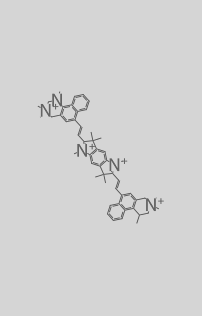 CC1C[N+](C)(C)Cc2cc(C=CC3=[N+](C)c4cc5c(cc4C3(C)C)[N+](C)=C(C=Cc3cc4c(c6ccccc36)N(C)C[N+](C)(C)C4)C5(C)C)c3ccccc3c21